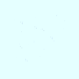 CN1CCN(n2c(-c3ccc4[nH]cnc4c3)nc3ccccc32)CC1